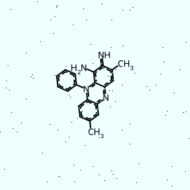 Cc1ccc2c(c1)nc1cc(C)c(=N)c(N)c-1n2-c1ccccc1